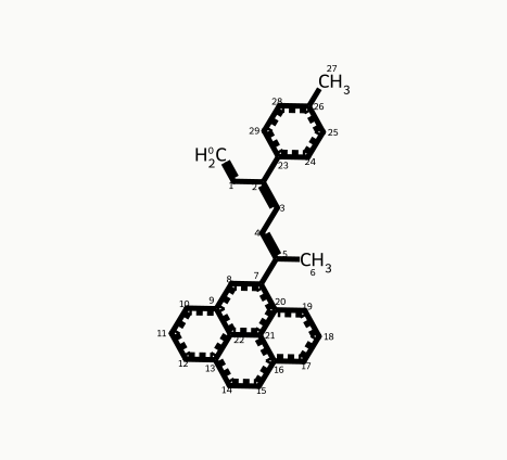 C=C/C(=C\C=C(/C)c1cc2cccc3ccc4cccc1c4c32)c1ccc(C)cc1